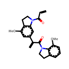 C=CC(=O)N1CCc2c(OC)cc(C(=C)C(=O)N3CCc4cccc(OC)c43)cc21